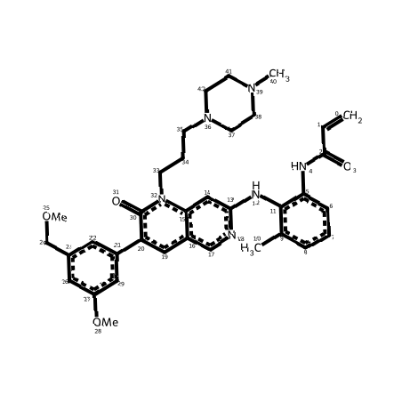 C=CC(=O)Nc1cccc(C)c1Nc1cc2c(cn1)cc(-c1cc(COC)cc(OC)c1)c(=O)n2CCCN1CCN(C)CC1